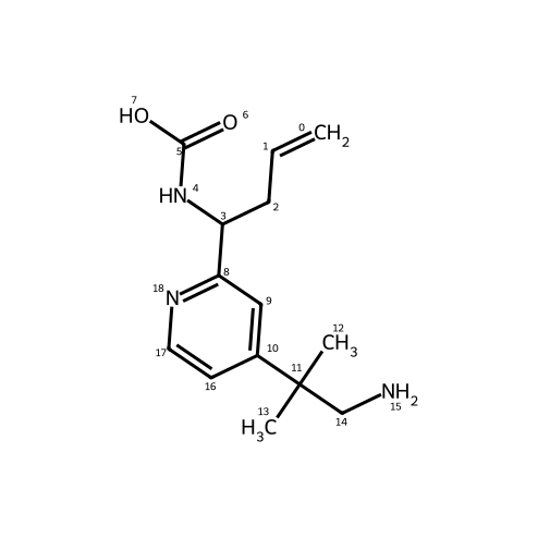 C=CCC(NC(=O)O)c1cc(C(C)(C)CN)ccn1